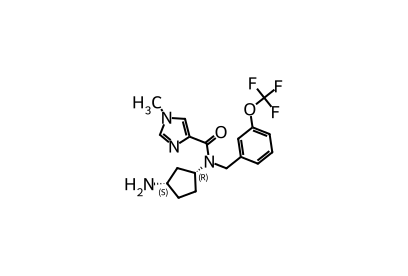 Cn1cnc(C(=O)N(Cc2cccc(OC(F)(F)F)c2)[C@@H]2CC[C@H](N)C2)c1